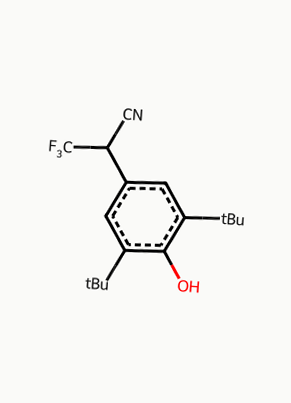 CC(C)(C)c1cc(C(C#N)C(F)(F)F)cc(C(C)(C)C)c1O